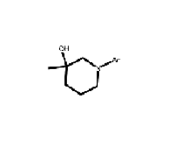 CC(=O)N1CCCC(C)(O)C1